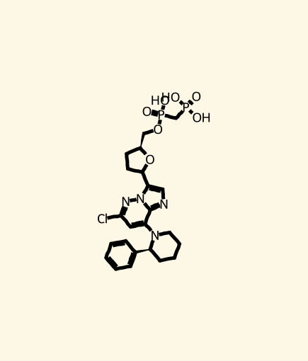 O=P(O)(O)CP(=O)(O)OC[C@@H]1CCC(c2cnc3c(N4CCCC[C@H]4c4ccccc4)cc(Cl)nn23)O1